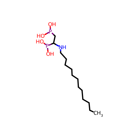 CCCCCCCCCCCCNC(CP(O)O)P(O)O